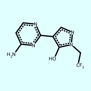 Nc1ccnc(-c2cnn(CC(F)(F)F)c2O)n1